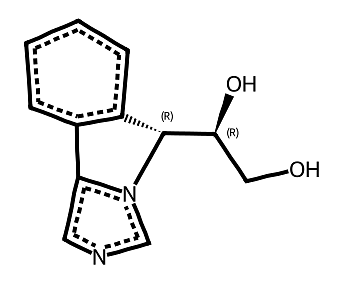 OC[C@H](O)[C@H]1c2ccccc2-c2cncn21